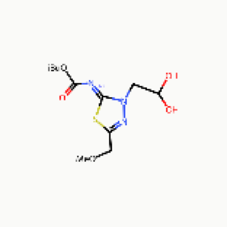 COCc1nn(CC(O)O)/c(=N/C(=O)OCC(C)C)s1